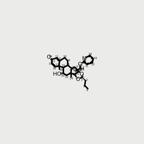 CCC[C@@H]1O[C@@H]2CC3C4CCC5=CC(=O)C=CC5(C)C4[C@@H](O)CC3(C)[C@]2(C(=O)COc2ccccn2)O1